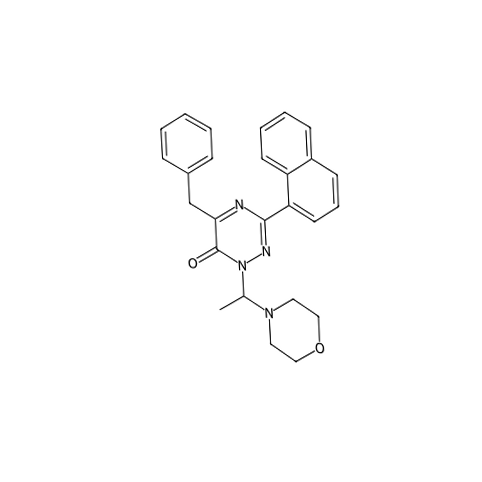 CC(N1CCOCC1)n1nc(-c2cccc3ccccc23)nc(Cc2ccccc2)c1=O